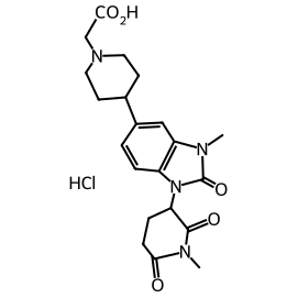 CN1C(=O)CCC(n2c(=O)n(C)c3cc(C4CCN(CC(=O)O)CC4)ccc32)C1=O.Cl